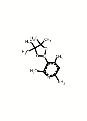 Cc1cc(N)nc(C)c1B1OC(C)(C)C(C)(C)O1